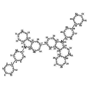 c1ccc(-c2ccc(-n3c4ccccc4c4cc(-c5ccc6c(c5)c5c7ccccc7ncc5n6-c5ccc(-c6ccccc6)cc5)ccc43)cc2)cc1